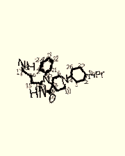 CC(C)[C@H]1CC[C@@H](N2CCC3(CC2)C(=O)NC(CCCN)N3c2ccccc2)CC1